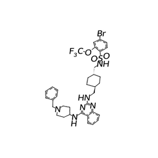 O=S(=O)(NC[C@H]1CC[C@H](CNc2nc(NC3CCN(Cc4ccccc4)CC3)c3ccccc3n2)CC1)c1ccc(Br)cc1OC(F)(F)F